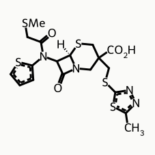 CSCC(=O)N(c1cccs1)C1C(=O)N2CC(CSc3nnc(C)s3)(C(=O)O)CS[C@H]12